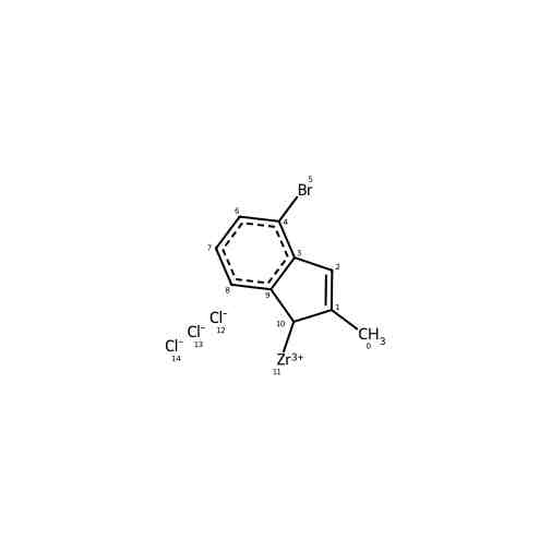 CC1=Cc2c(Br)cccc2[CH]1[Zr+3].[Cl-].[Cl-].[Cl-]